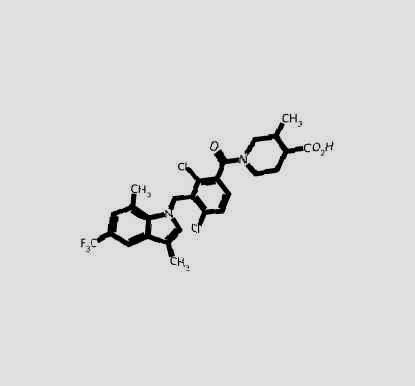 Cc1cn(Cc2c(Cl)ccc(C(=O)N3CCC(C(=O)O)C(C)C3)c2Cl)c2c(C)cc(C(F)(F)F)cc12